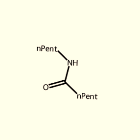 [CH2]CCCCNC(=O)CCCCC